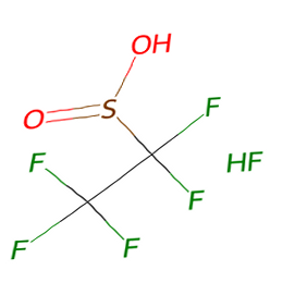 F.O=S(O)C(F)(F)C(F)(F)F